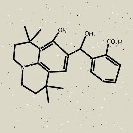 CC1(C)CCN2CCC(C)(C)c3c(O)c(C(O)c4ccccc4C(=O)O)cc1c32